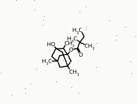 CCC(C)(C)C(=O)OC12CC3(C)CC(C)(CC(O)(C3)C1C)C2